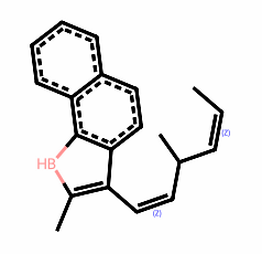 C/C=C\C(C)/C=C\C1=C(C)Bc2c1ccc1ccccc21